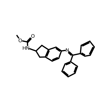 COC(=O)NC1Cc2ccc(N=C(c3ccccc3)c3ccccc3)cc2C1